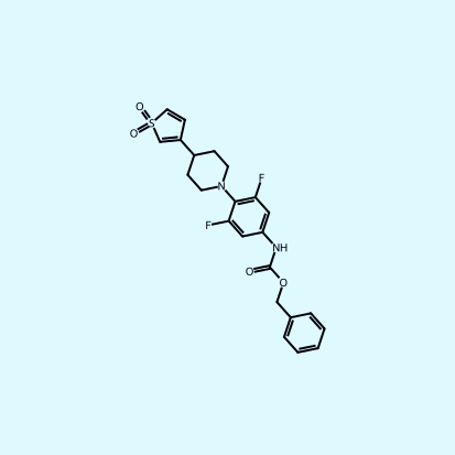 O=C(Nc1cc(F)c(N2CCC(C3=CS(=O)(=O)C=C3)CC2)c(F)c1)OCc1ccccc1